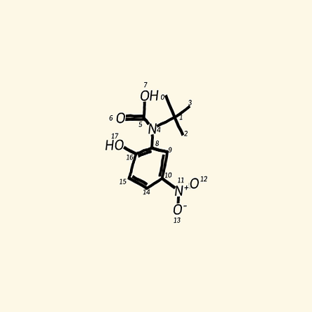 CC(C)(C)N(C(=O)O)c1cc([N+](=O)[O-])ccc1O